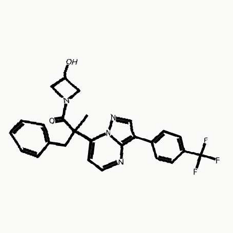 CC(Cc1ccccc1)(C(=O)N1CC(O)C1)c1ccnc2c(-c3ccc(C(F)(F)F)cc3)cnn12